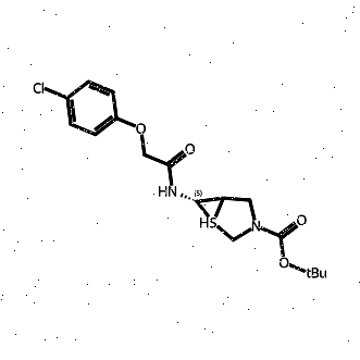 CC(C)(C)OC(=O)N1CC2[C@@H](NC(=O)COc3ccc(Cl)cc3)[SH]2C1